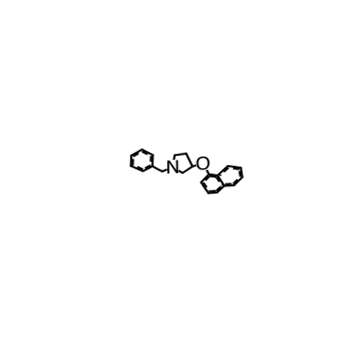 c1ccc(CN2CCC(Oc3cccc4ccccc34)C2)cc1